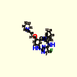 COc1cc(Nc2ncc(F)c(Nc3cnc4ccccc4c3)n2)ccc1OCCCN1CCCCC1